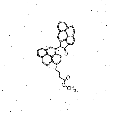 COC(=O)CCCc1ccc2c(C3C(=O)c4ccc5ccc6cccc7cc3c4c5c67)cc3cccc4ccc1c2c43